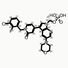 C[C@H](OP(=O)(O)O)n1cc(-c2ccn(Cc3cccc(Cl)c3F)c(=O)c2)c2cc(N3CCOCC3)cnc21